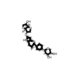 O[C@@H]1CO[C@H]2[C@@H]1OC[C@H]2Oc1cc2nc(-c3ccc([C@@H]4C[C@H](O)[C@H](O)CO4)cc3)c(F)cc2[nH]1